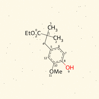 CCOC(=O)C(C)(C)Cc1ccc(O)c(OC)c1